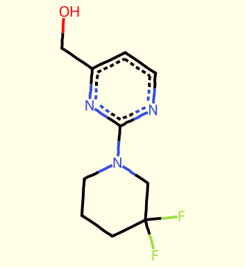 OCc1ccnc(N2CCCC(F)(F)C2)n1